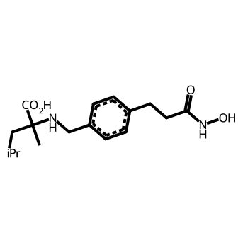 CC(C)CC(C)(NCc1ccc(CCC(=O)NO)cc1)C(=O)O